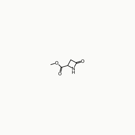 COC(=O)C1CC(=O)N1